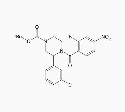 CC(C)(C)OC(=O)N1CCN(C(=O)c2ccc([N+](=O)[O-])cc2F)C(c2cccc(Cl)c2)C1